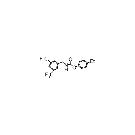 CCc1ccc(OC(=O)NCc2cc(C(F)(F)F)cc(C(F)(F)F)c2)cc1